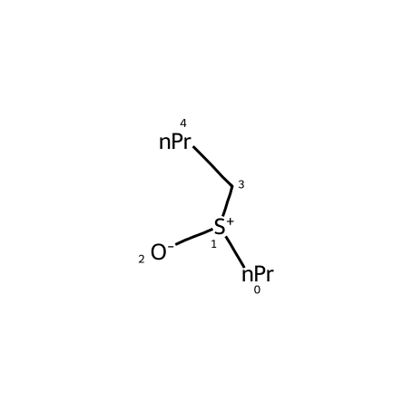 [CH2]CC[S+]([O-])CCCC